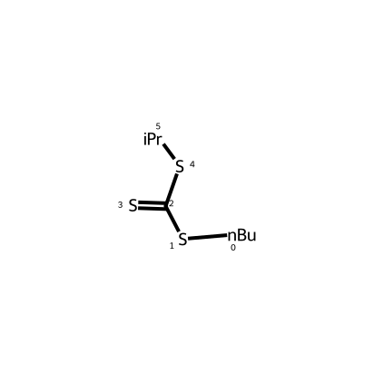 CCCCSC(=S)SC(C)C